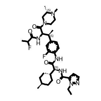 CCn1nccc1C(=O)N[C@H](C(=O)Nc1ccc([C@H](C)C(NC(=O)C(C)F)C(=O)N2CCN(C)[C@@H](C)C2)cc1F)[C@H]1CC[C@H](C)CC1